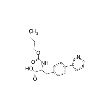 CCCCOC(=O)NC(Cc1ccc(-c2cccnc2)cc1)C(=O)O